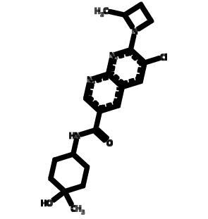 CC1CCN1c1nc2ncc(C(=O)NC3CCC(C)(O)CC3)cc2cc1Cl